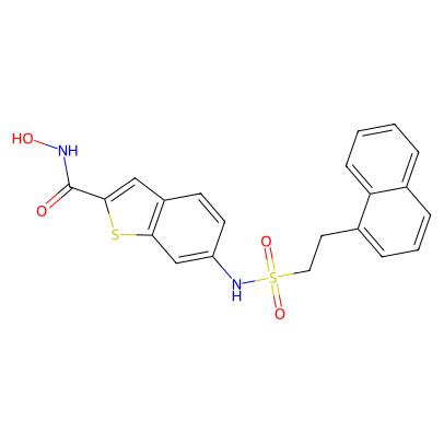 O=C(NO)c1cc2ccc(NS(=O)(=O)CCc3cccc4ccccc34)cc2s1